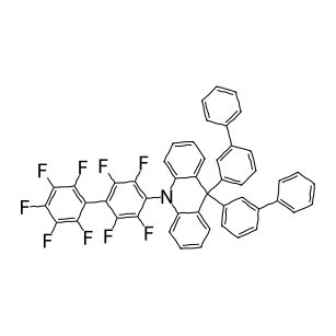 Fc1c(F)c(F)c(-c2c(F)c(F)c(N3c4ccccc4C(c4cccc(-c5ccccc5)c4)(c4cccc(-c5ccccc5)c4)c4ccccc43)c(F)c2F)c(F)c1F